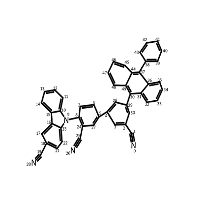 N#Cc1cc(-c2ccc(-n3c4ccccc4c4cc(C#N)ccc43)c(C#N)c2)cc(-c2c3ccccc3c(-c3ccccc3)c3ccccc23)c1